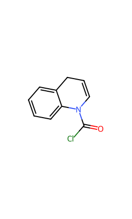 O=C(Cl)N1C=CCc2ccccc21